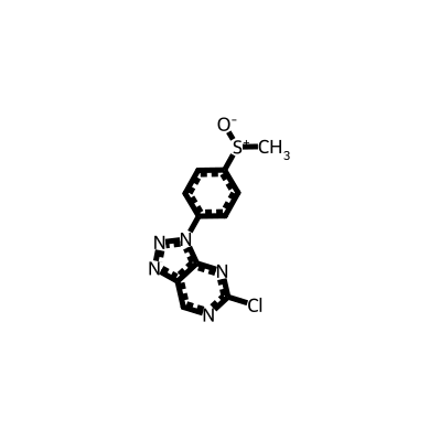 C[S+]([O-])c1ccc(-n2nnc3cnc(Cl)nc32)cc1